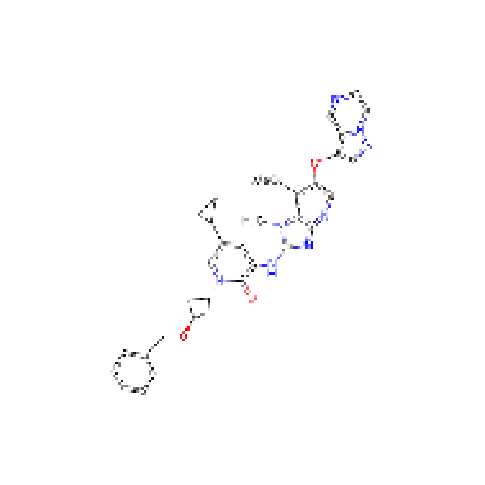 COc1c(Oc2cnn3ccncc23)cnc2nc(Nc3cc(C4CC4)cn([C@H]4C[C@H](OCc5ccccc5)C4)c3=O)n(C)c12